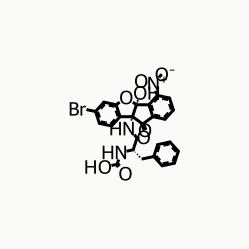 O=C(O)N[C@@H](Cc1ccccc1)C(=O)N[C@@]12C(=O)c3cccc([N+](=O)[O-])c3[C@]1(O)Oc1cc(Br)ccc12